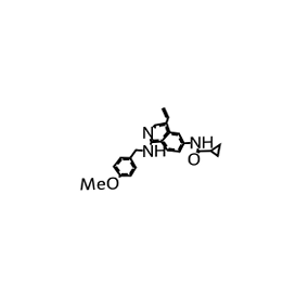 C=Cc1cnc(NCc2ccc(OC)cc2)c2ccc(NC(=O)C3CC3)cc12